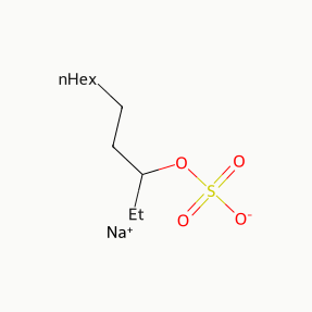 CCCCCCCCC(CC)OS(=O)(=O)[O-].[Na+]